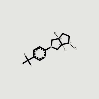 N[C@H]1CC[C@@H]2CN(c3ccc(C(F)(F)F)cn3)C[C@@H]21